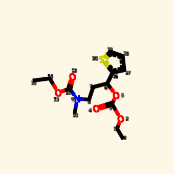 CCOC(=O)OC(CCN(C)C(=O)OCC)c1cccs1